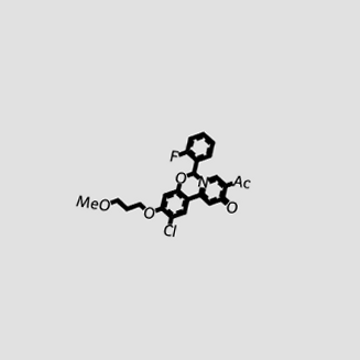 COCCCOc1cc2c(cc1Cl)-c1cc(=O)c(C(C)=O)cn1C(c1ccccc1F)O2